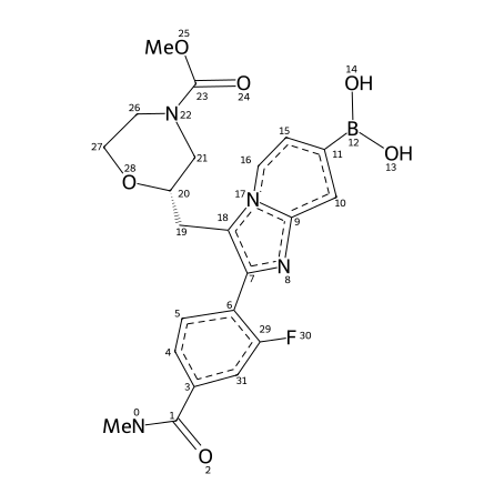 CNC(=O)c1ccc(-c2nc3cc(B(O)O)ccn3c2C[C@H]2CN(C(=O)OC)CCO2)c(F)c1